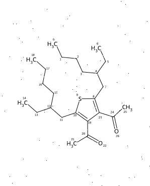 CCCCC(CC)Cc1sc(CC(CC)CCCC)c(C(C)=O)c1C(C)=O